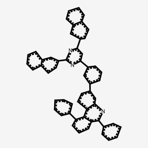 c1ccc(-c2nc3cc(-c4cccc(-c5cc(-c6ccc7ccccc7c6)nc(-c6ccc7ccccc7c6)n5)c4)ccc3c3c(-c4ccccc4)cccc23)cc1